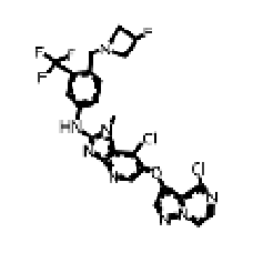 Cn1c(Nc2ccc(CN3CC(F)C3)c(C(F)(F)F)c2)nc2ncc(Oc3cnn4ccnc(Cl)c34)c(Cl)c21